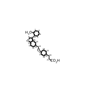 Cc1ccccc1-c1csc2ccc(COc3ccc(CCC(=O)O)cc3)cc12